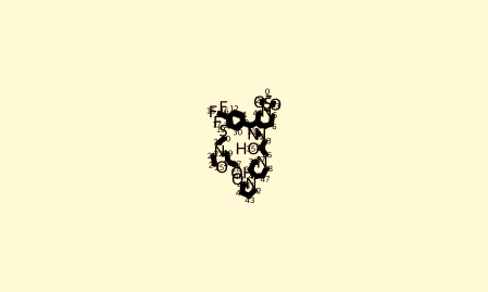 CS(=O)(=O)N1CCc2c(c(-c3ccc(C(F)(F)F)c(SCCN4CCOC(CO)C4)c3)nn2CC(O)CN2CCC(N3CCCC3=O)CC2)C1